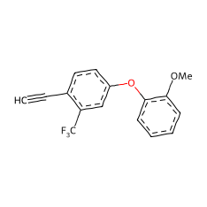 C#Cc1ccc(Oc2ccccc2OC)cc1C(F)(F)F